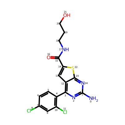 Nc1nc(-c2ccc(Cl)cc2Cl)c2cc(C(=O)NCCCO)sc2n1